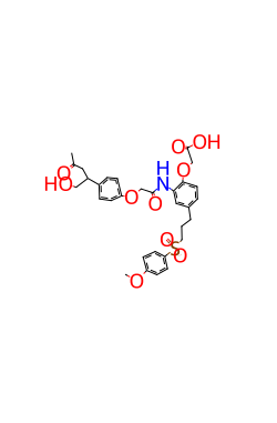 COc1ccc(S(=O)(=O)CCCc2ccc(OCC(=O)O)c(NC(=O)COc3ccc(C(CO)CC(C)=O)cc3)c2)cc1